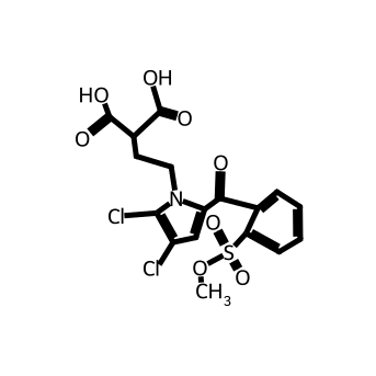 COS(=O)(=O)c1ccccc1C(=O)c1cc(Cl)c(Cl)n1CCC(C(=O)O)C(=O)O